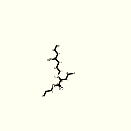 CCCOC(=O)C(CCC)SCCCC(F)CCC